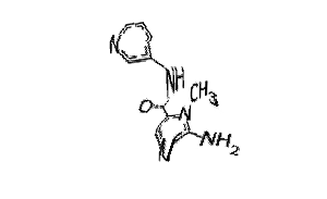 Cn1c(C(=O)Nc2cccnc2)cnc1N